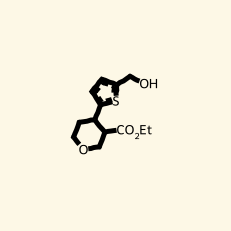 CCOC(=O)C1COCCC1c1ccc(CO)s1